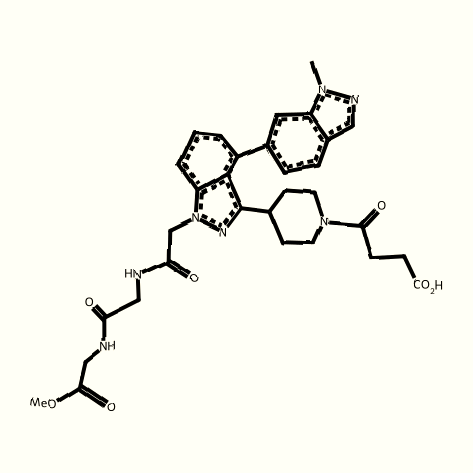 COC(=O)CNC(=O)CNC(=O)Cn1nc(C2CCN(C(=O)CCC(=O)O)CC2)c2c(-c3ccc4cnn(C)c4c3)cccc21